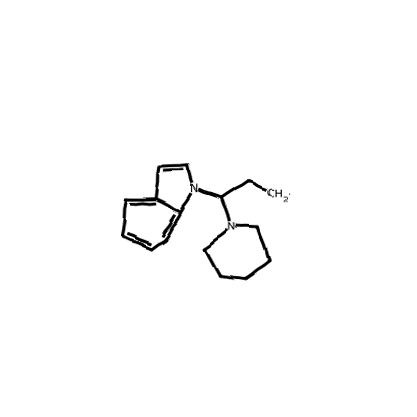 [CH2]CC(N1CCCCC1)n1ccc2ccccc21